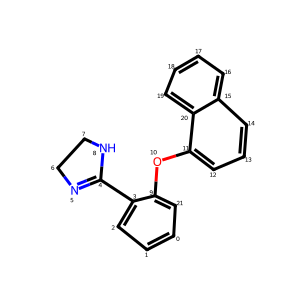 c1ccc(C2=NCCN2)c(Oc2cccc3ccccc23)c1